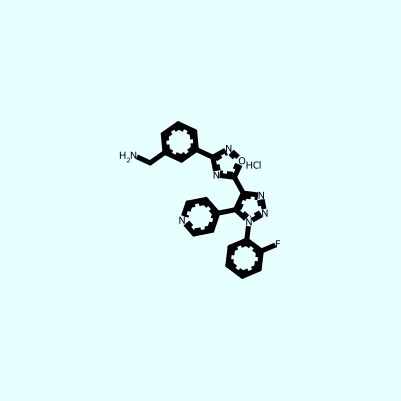 Cl.NCc1cccc(-c2noc(-c3nnn(-c4ccccc4F)c3-c3ccncc3)n2)c1